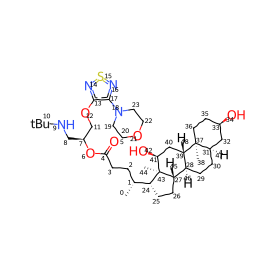 C[C@H](CCC(=O)O[C@@H](CNC(C)(C)C)COc1nsnc1N1CCOCC1)[C@H]1CC[C@H]2[C@@H]3CC[C@@H]4C[C@H](O)CC[C@]4(C)[C@H]3C[C@H](O)[C@]12C